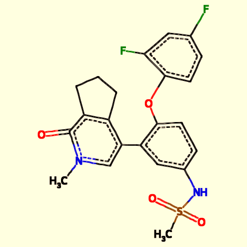 Cn1cc(-c2cc(NS(C)(=O)=O)ccc2Oc2ccc(F)cc2F)c2c(c1=O)CCC2